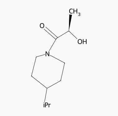 CC(C)C1CCN(C(=O)[C@@H](C)O)CC1